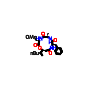 CCCC[C@H](C)[C@@H]1CC(=O)N[C@@H](Cc2ccccc2)C(=O)N[C@@H](C)C(=O)N[C@@H](COC)C(=O)O1